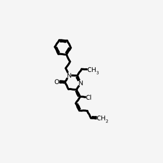 C=CC/C=C\C(Cl)=C1/CC(=O)N(CCc2ccccc2)C(CC)=N1